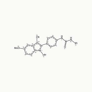 CCCn1c(-c2ccc(NC(=O)NC(C)C)cc2)c(C#N)c2cc(OC)ccc21